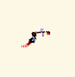 O=C(CSCc1ccco1)NCCCOc1cccc(CN2CCC(O)CC2)c1